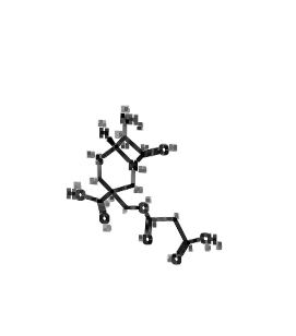 CC(=O)CC(=O)OCC1(C(=O)O)CS[C@@H]2C(N)C(=O)N2C1